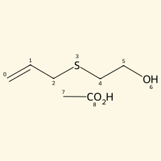 C=CCSCCO.CC(=O)O